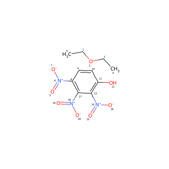 CCOCC.O=[N+]([O-])c1ccc(O)c([N+](=O)[O-])c1[N+](=O)[O-]